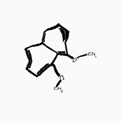 COc1cc[c]c2cccc(OC)c12